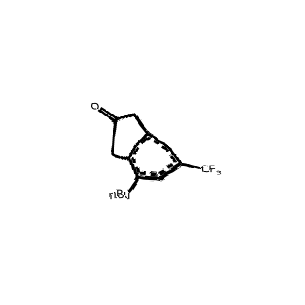 CCCCc1cc(C(F)(F)F)cc2c1CC(=O)C2